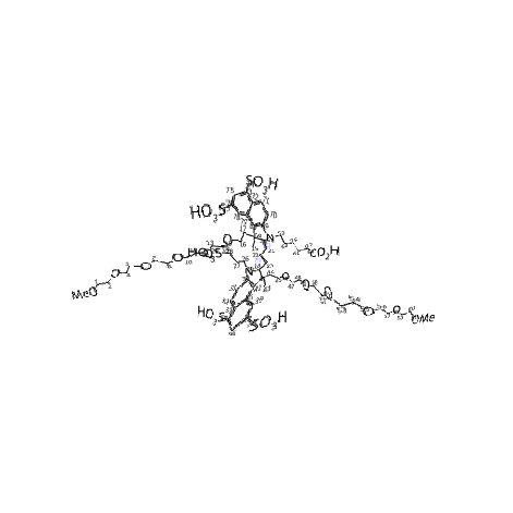 COCCOCCOCCOCCOCCOCCC1(C)/C(=C\C=C\C2N(CCCS(=O)(=O)O)c3ccc4c(S(=O)(=O)O)cc(S(=O)(=O)O)cc4c3C2(C)CCOCCOCCOCCOCCOCCOC)N(CCCCCC(=O)O)c2ccc3c(S(=O)(=O)O)cc(S(=O)(=O)O)cc3c21